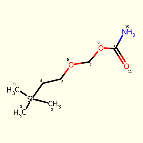 C[Si](C)(C)CCOCOC(N)=O